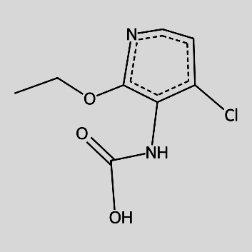 CCOc1nccc(Cl)c1NC(=O)O